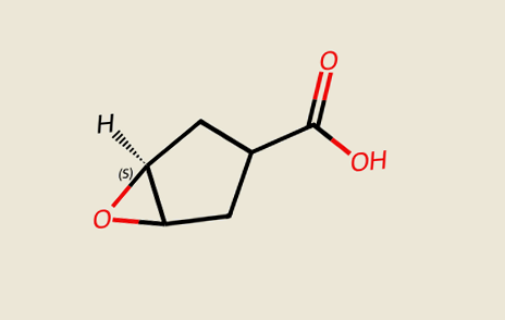 O=C(O)C1CC2O[C@H]2C1